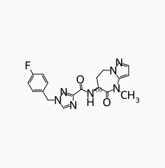 CN1C(=O)[C@@H](NC(=O)c2ncn(Cc3ccc(F)cc3)n2)CCn2nccc21